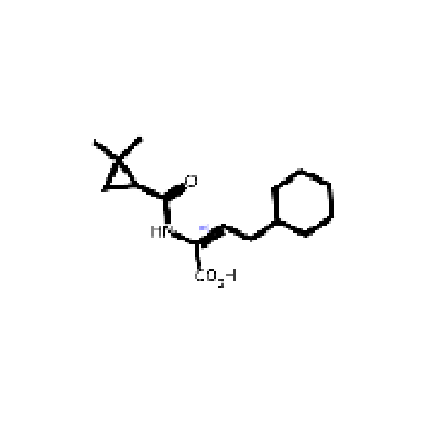 CC1(C)CC1C(=O)N/C(=C/CC1CCCCC1)C(=O)O